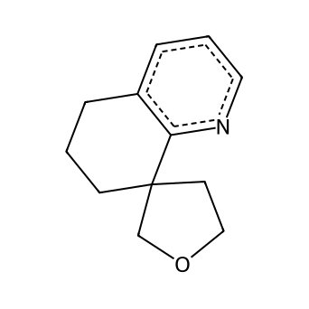 c1cnc2c(c1)CCCC21CCOC1